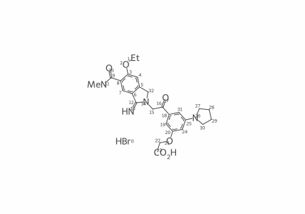 Br.CCOc1cc2c(cc1C(=O)NC)C(=N)N(CC(=O)c1cc(OCC(=O)O)cc(N3CCCC3)c1)C2